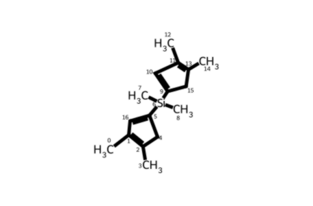 CC1=C(C)CC([Si](C)(C)C2=CC(C)=C(C)C2)=C1